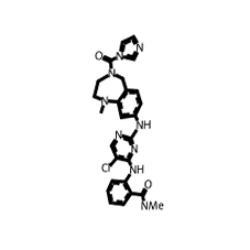 CNC(=O)c1ccccc1Nc1nc(Nc2ccc3c(c2)N(C)CCN(C(=O)n2ccnc2)C3)ncc1Cl